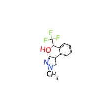 Cn1cc(-c2ccccc2C(O)C(F)(F)F)cn1